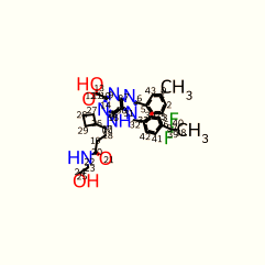 Cc1cccc(-c2nc3nc(C(=O)O)nc(N[C@H](CCC(=O)NCCO)C4CCC4)c3n2Cc2ccc(C(C)(F)F)cc2)c1